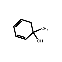 CC1(O)C=CC=CC1